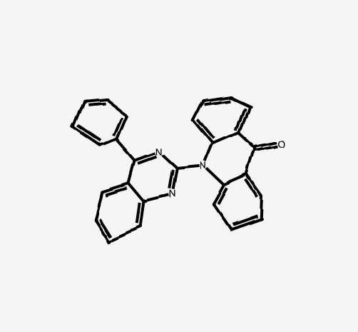 O=c1c2ccccc2n(-c2nc(-c3ccccc3)c3ccccc3n2)c2ccccc12